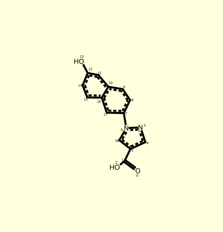 O=C(O)c1cnn(-c2ccc3cc(O)ccc3c2)c1